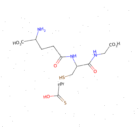 CCCC(O)=S.NC(CCC(=O)NC(CS)C(=O)NCC(=O)O)C(=O)O